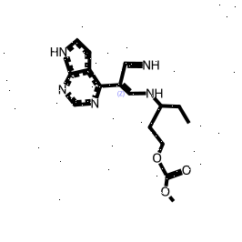 CCC(CCOC(=O)OC)N/C=C(\C=N)c1ncnc2[nH]ccc12